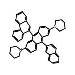 c1ccc2cc(-c3c4cc(N5CCCCC5)ccc4c(-c4cc5ccccc5c5ccccc45)c4cc(N5CCCCC5)ccc34)ccc2c1